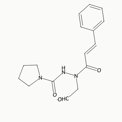 O=[C]CN(NC(=O)N1CCCC1)C(=O)C=Cc1ccccc1